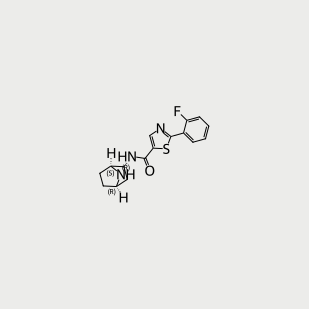 O=C(N[C@@H]1C[C@H]2CC[C@@H]1N2)c1cnc(-c2ccccc2F)s1